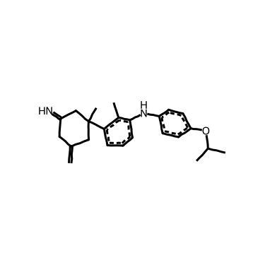 C=C1CC(=N)CC(C)(c2cccc(Nc3ccc(OC(C)C)cc3)c2C)C1